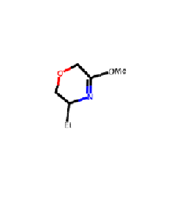 CCC1COCC(OC)=N1